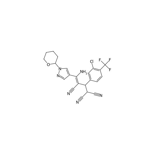 N#C/C(=C(/N)c1cnn(C2CCCCO2)c1)C(c1ccc(C(F)(F)F)c(Cl)c1)C(C#N)C#N